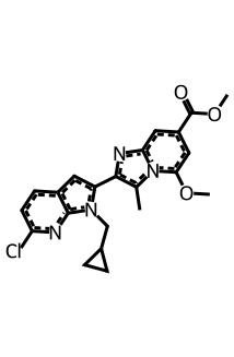 COC(=O)c1cc(OC)n2c(C)c(-c3cc4ccc(Cl)nc4n3CC3CC3)nc2c1